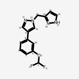 FC(F)Oc1cccc(-c2cnn(Cc3cc[nH]n3)c2)c1